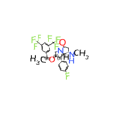 CNC1CC(=O)N2C[C@H](O[C@H](C)c3cc(C(F)(F)F)cc(C(F)(F)F)c3)[C@@H](c3ccc(F)cc3)[C@H]12